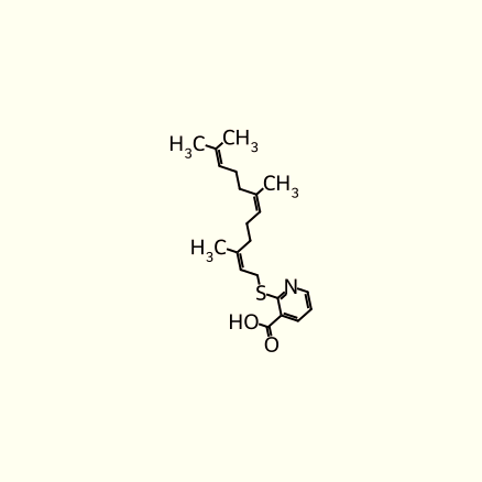 CC(C)=CCCC(C)=CCCC(C)=CCSc1ncccc1C(=O)O